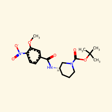 COc1cc(C(=O)N[C@H]2CCCN(C(=O)OC(C)(C)C)C2)ccc1[N+](=O)[O-]